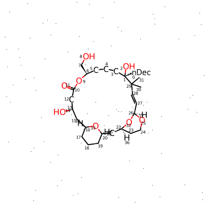 CCCCCCCCCC[C@]1(O)CCC[C@H](CO)OC(=O)C[C@H](O)C[C@@H]2CCC[C@H](C[C@@H]3CCO[C@H](/C=C/C1(C)C)O3)O2